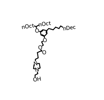 CCCCCCCCCCCCCCCc1cc(OCCOC(=O)CCCN2CCN(CCO)CC2)cc(OC(CCCCCCCC)CCCCCCCC)c1